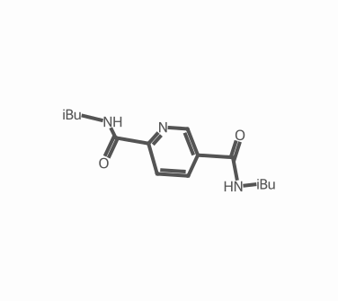 CCC(C)NC(=O)c1ccc(C(=O)NC(C)CC)nc1